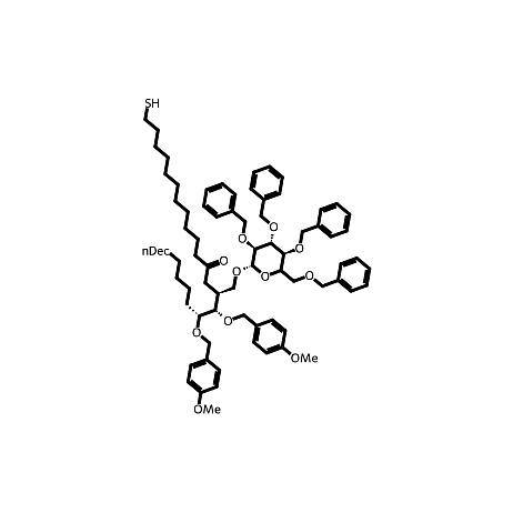 CCCCCCCCCCCCCC[C@@H](OCc1ccc(OC)cc1)[C@@H](OCc1ccc(OC)cc1)[C@H](CO[C@H]1OC(COCc2ccccc2)[C@H](OCc2ccccc2)[C@@H](OCc2ccccc2)[C@@H]1OCc1ccccc1)CC(=O)CCCCCCCCCCCS